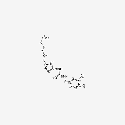 COCCCOCc1csc(NC(=O)NCc2ccc(Cl)c(Cl)c2)n1